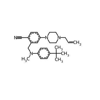 C=CCN1CCN(c2ccc(C#N)c(CN(C)c3ccc(C(C)(C)C)cc3)c2)CC1